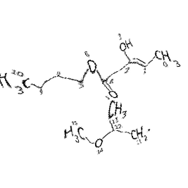 CC=C(O)C(=O)OCCCC.[CH2]C(C)OC